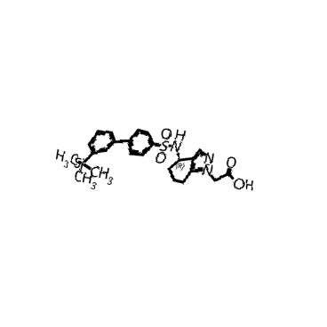 C[Si](C)(C)c1cccc(-c2ccc(S(=O)(=O)N[C@@H]3CCCc4c3cnn4CC(=O)O)cc2)c1